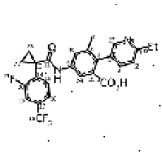 CCc1ccc(-c2c(C)cc(NC(=O)C3(c4ccc(C(F)(F)F)cc4F)CC3)cc2C(=O)O)cn1